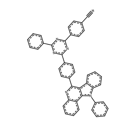 N#Cc1ccc(-c2nc(-c3ccccc3)nc(-c3ccc(-c4nc5ccccc5c5c4c4ccccc4n5-c4ccccc4)cc3)n2)cc1